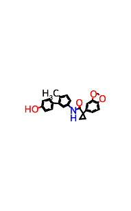 Cc1ccc(NC(=O)C2(c3ccc4c(c3)OCO4)CC2)cc1-c1ccc(O)cc1